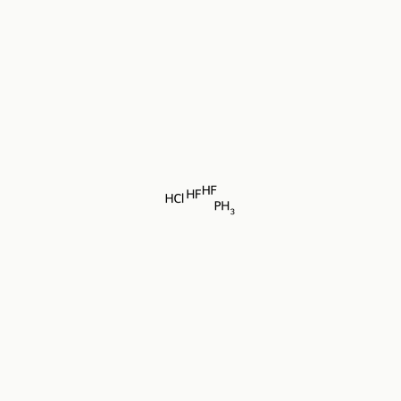 Cl.F.F.P